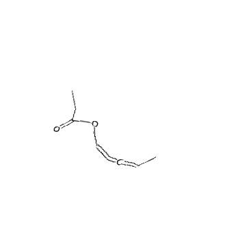 CC=C=COC(C)=O